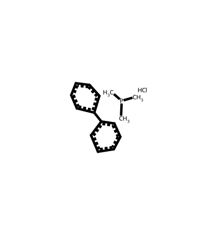 CP(C)C.Cl.c1ccc(-c2ccccc2)cc1